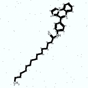 CCCCCCCCCCCCCCCC(=O)Nc1ccc(-c2nc3ccccc3n3ccnc23)cc1